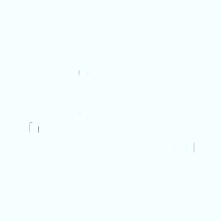 CC(C)C(=O)C=CO